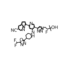 CC(C)(O)[C@H](F)Cn1cc(-c2cnc(-c3ccc4cc(C#N)cnn34)cc2NC2CCC(c3nnc(C(F)F)o3)CC2)nn1